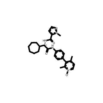 Cc1cc[n+]([O-])c(C)c1-c1ccc(NC(=O)[C@@H](NC(=O)c2ccnn2C)C2CCCCCC2)cc1